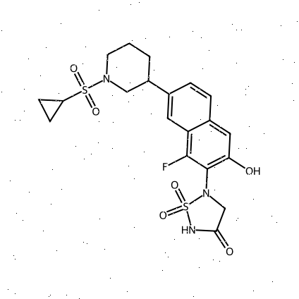 O=C1CN(c2c(O)cc3ccc(C4CCCN(S(=O)(=O)C5CC5)C4)cc3c2F)S(=O)(=O)N1